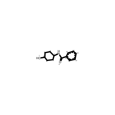 O=C(NC1CCC(O)CC1)c1ccccc1